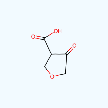 O=C(O)C1COCC1=O